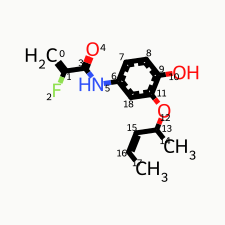 C=C(F)C(=O)Nc1ccc(O)c(OC(C)/C=C\C)c1